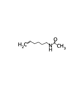 C=CCCCCNC(C)=O